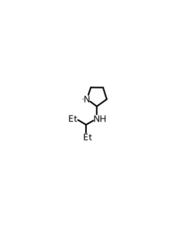 CCC(CC)NC1CCC[N]1